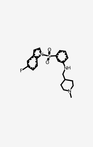 CN1CCC(CNc2cccc(S(=O)(=O)n3ccc4cc(F)ccc43)c2)CC1